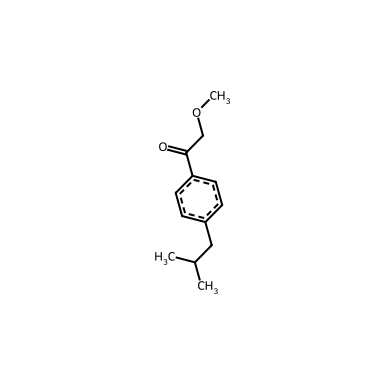 COCC(=O)c1ccc(CC(C)C)cc1